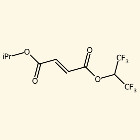 CC(C)OC(=O)/C=C/C(=O)OC(C(F)(F)F)C(F)(F)F